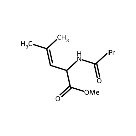 COC(=O)C(C=C(C)C)NC(=O)C(C)C